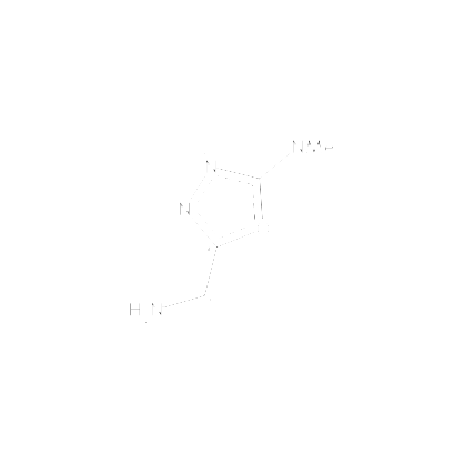 CNc1nnc(CN)o1